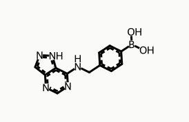 OB(O)c1ccc(CNc2ncnc3cn[nH]c23)cc1